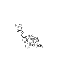 C=CC(=O)OCC1COC2(CC(C)(C)N(C(=O)C=C)C(C)(C)C2)O1